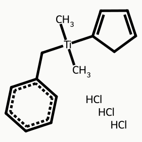 Cl.Cl.Cl.[CH3][Ti]([CH3])([CH2]c1ccccc1)[C]1=CC=CC1